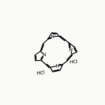 C1=CC2=NC1=CC1=NC(=CC3=NC(=CC4=NC(=C2)C=C4)C=C3)C=C1.Cl.Cl